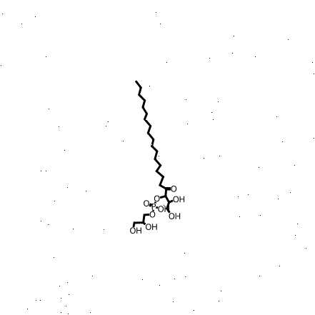 CCCCCCCCCCCCCCCCCC(=O)C(OP(=O)(O)OCC(O)CO)C(O)CO